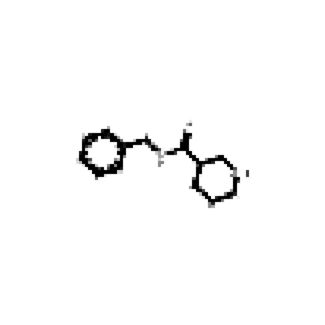 O=C(NCc1ccccc1)C1CCCNC1